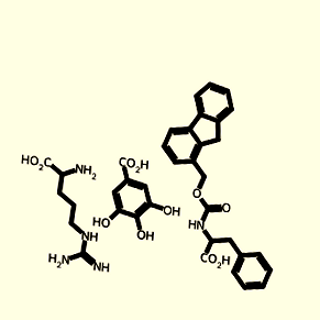 N=C(N)NCCCC(N)C(=O)O.O=C(NC(Cc1ccccc1)C(=O)O)OCc1cccc2c1Cc1ccccc1-2.O=C(O)c1cc(O)c(O)c(O)c1